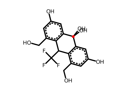 OCc1cc(O)cc(CO)c1C(c1c(CO)cc(O)cc1CO)C(F)(F)F